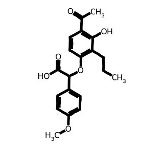 CCCc1c(OC(C(=O)O)c2ccc(OC)cc2)ccc(C(C)=O)c1O